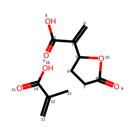 C=C(C(=O)O)C1CCC(=O)O1.C=C(C)C(=O)O